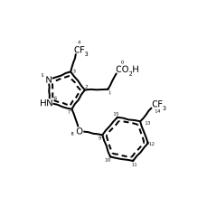 O=C(O)Cc1c(C(F)(F)F)n[nH]c1Oc1cccc(C(F)(F)F)c1